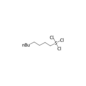 CCCCCCCCS(Cl)(Cl)Cl